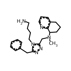 CN(Cc1nnc(Cc2ccccc2)n1CCCCN)C1CCCc2cccnc21